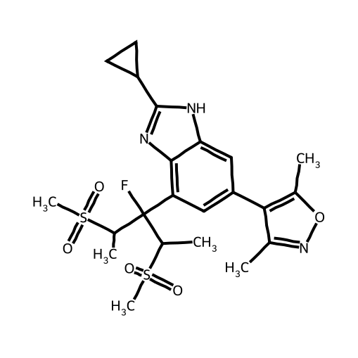 Cc1noc(C)c1-c1cc(C(F)(C(C)S(C)(=O)=O)C(C)S(C)(=O)=O)c2nc(C3CC3)[nH]c2c1